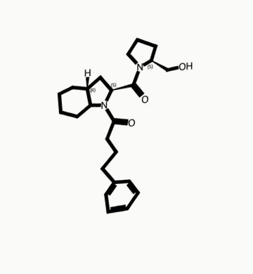 O=C([C@@H]1C[C@H]2CCCCC2N1C(=O)CCCc1ccccc1)N1CCC[C@H]1CO